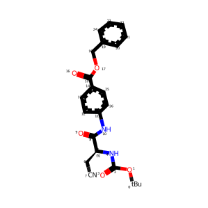 CC(C)(C)OC(=O)N[C@@H](CC#N)C(=O)Nc1ccc(C(=O)OCc2ccccc2)cc1